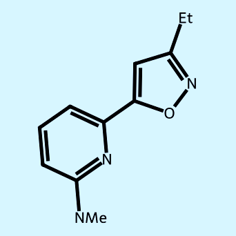 CCc1cc(-c2cccc(NC)n2)on1